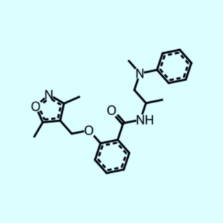 Cc1noc(C)c1COc1ccccc1C(=O)NC(C)CN(C)c1ccccc1